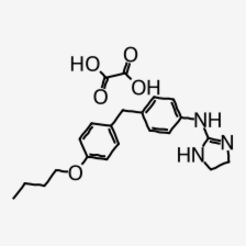 CCCCOc1ccc(Cc2ccc(NC3=NCCN3)cc2)cc1.O=C(O)C(=O)O